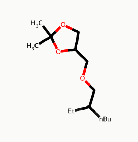 CCCCC(CC)COCC1COC(C)(C)O1